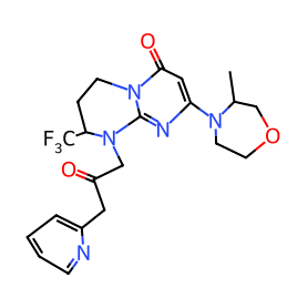 CC1COCCN1c1cc(=O)n2c(n1)N(CC(=O)Cc1ccccn1)C(C(F)(F)F)CC2